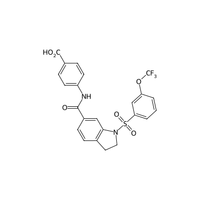 O=C(O)c1ccc(NC(=O)c2ccc3c(c2)N(S(=O)(=O)c2cccc(OC(F)(F)F)c2)CC3)cc1